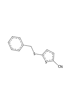 N#Cc1ccc(SCc2ccccc2)s1